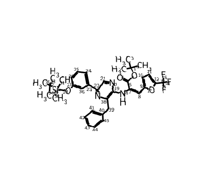 CC(C)(C)OC(=O)/C(=C\c1ccc(C(F)(F)F)o1)Nc1ncc(-c2cccc(O[Si](C)(C)C(C)(C)C)c2)nc1Cc1ccccc1